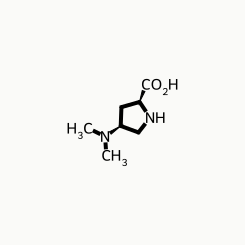 CN(C)[C@@H]1CN[C@H](C(=O)O)C1